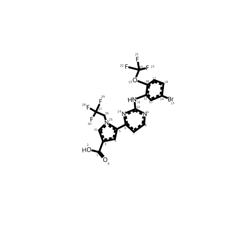 O=C(O)c1cc(-c2ccnc(Nc3cc(Br)ccc3OC(F)(F)F)n2)n(CC(F)(F)F)c1